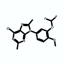 COc1ccc(-n2c(C)nc3c(Cl)nc(C)nc32)cc1OC(F)F